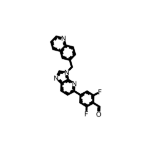 O=Cc1c(F)cc(-c2ccc3ncn(Cc4ccc5ncccc5c4)c3n2)cc1F